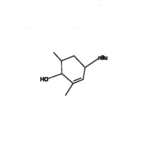 CCCCC1C=C(C)C(O)C(C)C1